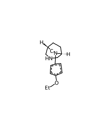 CCOc1ccc(N2C[C@H]3CC[C@H]2CNC3)cc1